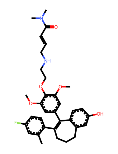 COc1cc(C2=C(c3ccc(F)cc3C)CCCc3cc(O)ccc32)cc(OC)c1OCCNC/C=C/C(=O)N(C)C